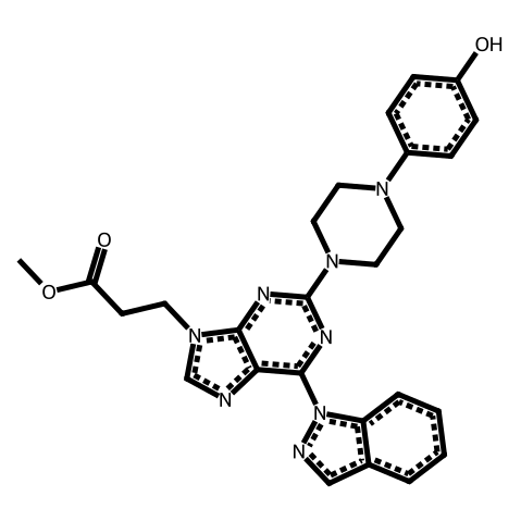 COC(=O)CCn1cnc2c(-n3ncc4ccccc43)nc(N3CCN(c4ccc(O)cc4)CC3)nc21